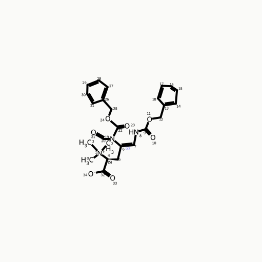 C[N+](C)(C)[C@@H](C/C(=C/NC(=O)OCc1ccccc1)N(C=O)C(=O)OCc1ccccc1)C(=O)[O-]